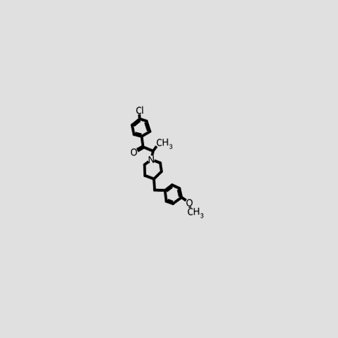 COc1ccc(CC2CCN(C(C)C(=O)c3ccc(Cl)cc3)CC2)cc1